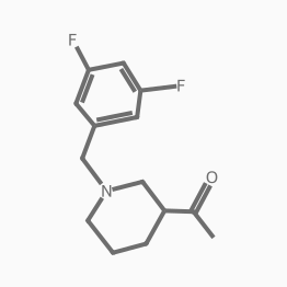 CC(=O)C1CCCN(Cc2cc(F)cc(F)c2)C1